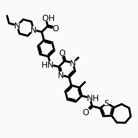 CCN1CCN(C(C(=O)O)c2ccc(Nc3nc(-c4cccc(NC(=O)c5cc6c(s5)CCCCC6)c4C)cn(C)c3=O)cc2)CC1